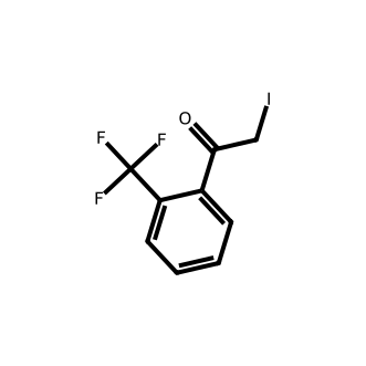 O=C(CI)c1ccccc1C(F)(F)F